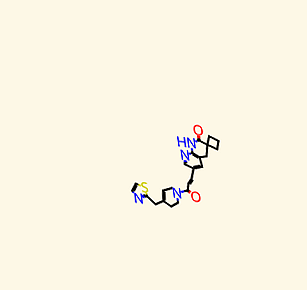 O=C(/C=C/c1cnc2c(c1)CC1(CCC1)C(=O)N2)N1CC=C(Cc2nccs2)CC1